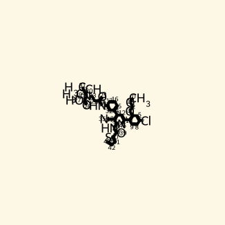 COCOc1cc(Cl)ccc1-c1cc(-c2cccc(NC(=O)CCN(C(=O)O)C(C)(C)C)c2)c(C#N)c(NC(=O)c2cccs2)n1